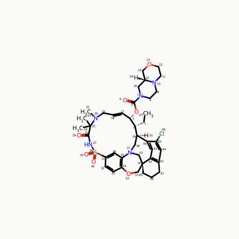 CC[C@H]1[C@@H](OC(=O)N2CCN3CCOC[C@H]3C2)/C=C/CN(C)C(C)(C)C(=O)NS(=O)(=O)c2ccc3c(c2)N2C[C@@H]1c1cc4c(cc1Cl)CCC[C@@]4(CO3)C2